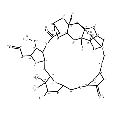 C=C1CC2CC[C@@]34CC5OC6C(O3)[C@H]3OC(CCC3O[C@H]6[C@H]5O4)CC(=O)CC3C(CC4OC(CCC1O2)CC(C)C4(C)C)OC(CC=O)[C@@H]3OC